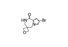 O=C1NCC2(COC2)Cn2cc(Br)cc21